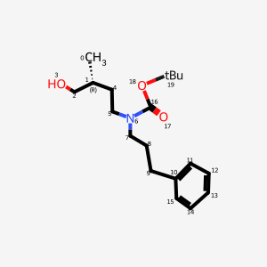 C[C@@H](CO)CCN(CCCc1ccccc1)C(=O)OC(C)(C)C